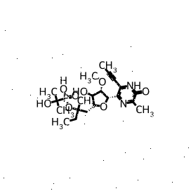 CC#Cc1[nH]c(=O)c(C)nc1[C@@H]1O[C@H](CC(C)(CC)OP(=O)(O)C(C)(C)O)C(O)[C@@H]1OC